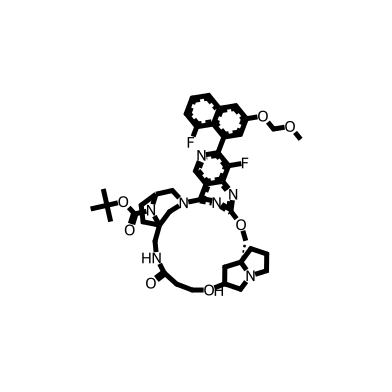 COCOc1cc(-c2ncc3c4nc(nc3c2F)OC[C@]23CCCN2C[C@@H](C3)OCCC(=O)NCC23CCC(CN4C2)N3C(=O)OC(C)(C)C)c2c(F)cccc2c1